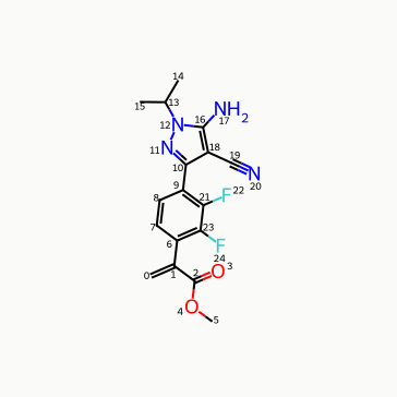 C=C(C(=O)OC)c1ccc(-c2nn(C(C)C)c(N)c2C#N)c(F)c1F